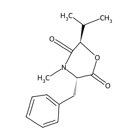 CC(C)[C@H]1OC(=O)[C@H](Cc2ccccc2)N(C)C1=O